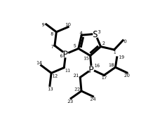 CCc1scc(P(CC(C)C)CC(C)C)c1P(CC(C)C)CC(C)C